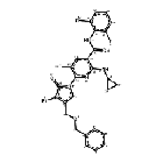 CCn1c(COCc2ccccc2)nn(-c2nc(NC3CC3)c(C(=O)Nc3c(F)cccc3Cl)cc2F)c1=O